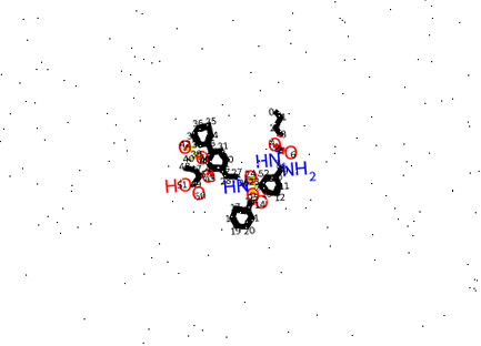 CCCCOC(=O)NC(N)c1ccc(OCc2ccccc2)c(S(=O)(=O)NCCc2ccc(-c3ccccc3S(C)(=O)=O)cc2OC(CC)C(=O)O)c1